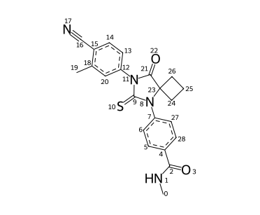 CNC(=O)c1ccc(N2C(=S)N(c3ccc(C#N)c(C)c3)C(=O)C23CCC3)cc1